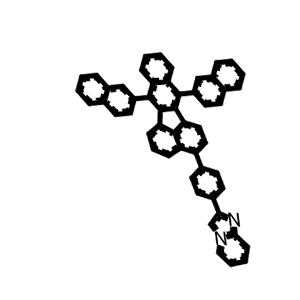 c1ccc2cc(-c3c4c(c(-c5ccc6ccccc6c5)c5ccccc35)-c3ccc(-c5ccc(-c6cn7ccccc7n6)cc5)c5cccc-4c35)ccc2c1